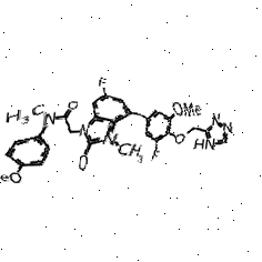 COc1ccc(N(C)C(=O)Cn2c(=O)n(C)c3c(-c4cc(F)c(OCc5nnc[nH]5)c(OC)c4)cc(F)cc32)cc1